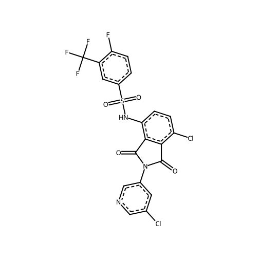 O=C1c2c(Cl)ccc(NS(=O)(=O)c3ccc(F)c(C(F)(F)F)c3)c2C(=O)N1c1cncc(Cl)c1